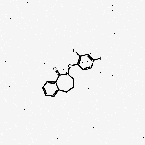 O=C1c2ccccc2CCCN1Oc1ccc(F)cc1F